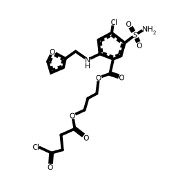 NS(=O)(=O)c1cc(C(=O)OCCCOC(=O)CCC(=O)Cl)c(NCc2ccco2)cc1Cl